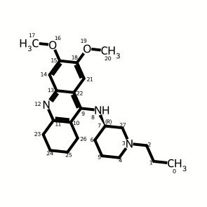 CCCN1CCC[C@@H](Nc2c3c(nc4cc(OC)c(OC)cc24)CCCC3)C1